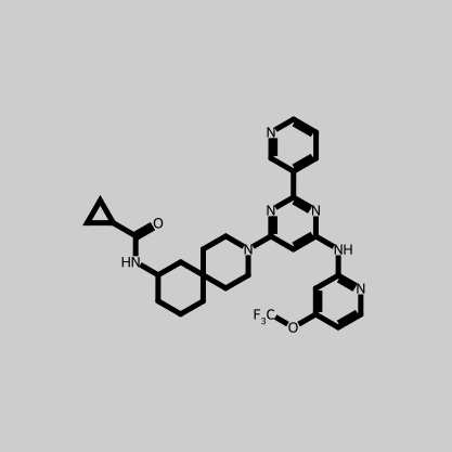 O=C(NC1CCCC2(CCN(c3cc(Nc4cc(OC(F)(F)F)ccn4)nc(-c4cccnc4)n3)CC2)C1)C1CC1